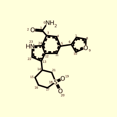 NC(=O)c1cc(-c2ccoc2)cc2c(C3CCCS(=O)(=O)C3)c[nH]c12